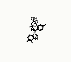 Cc1ccc2c(c1)OC(C)(CC(=O)O)N=C2n1cnc2c(C)c(C)ccc21